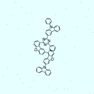 c1ccc(-c2nc(-c3ccc4c(c3)c3ccccc3n4-c3ccccc3)nc(-c3cccc4oc5ccc(-c6cccc7oc8cc(-n9c%10ccccc%10c%10ccccc%109)ccc8c67)cc5c34)n2)cc1